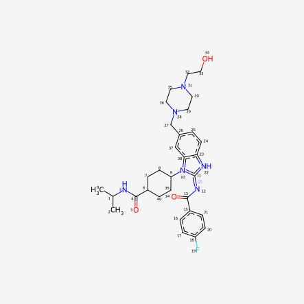 CC(C)NC(=O)C1CCC(n2/c(=N\C(=O)c3ccc(F)cc3)[nH]c3ccc(CN4CCN(CCO)CC4)cc32)CC1